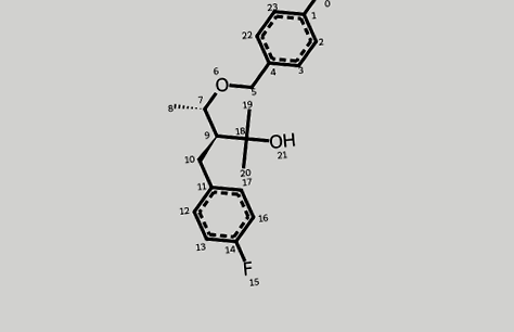 COc1ccc(CO[C@@H](C)[C@H](Cc2ccc(F)cc2)C(C)(C)O)cc1